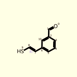 O=Cc1cccc(/C=C/S)c1